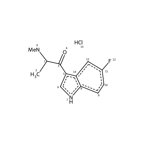 CNC(C)C(=O)c1c[nH]c2ccc(F)cc12.Cl